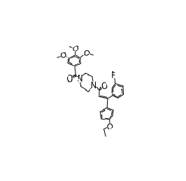 CCOc1ccc(/C(=C/C(=O)N2CCN(C(=O)c3cc(OC)c(OC)c(OC)c3)CC2)c2cccc(F)c2)cc1